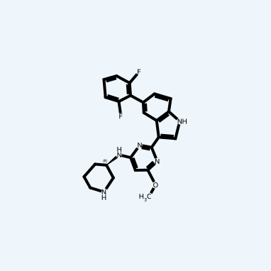 COc1cc(N[C@@H]2CCCNC2)nc(-c2c[nH]c3ccc(-c4c(F)cccc4F)cc23)n1